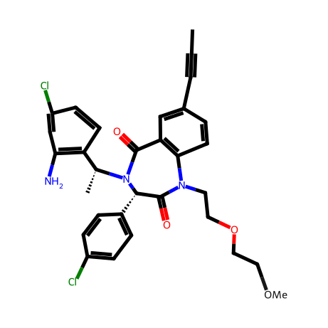 CC#Cc1ccc2c(c1)C(=O)N([C@H](C)c1ccc(Cl)cc1N)[C@@H](c1ccc(Cl)cc1)C(=O)N2CCOCCOC